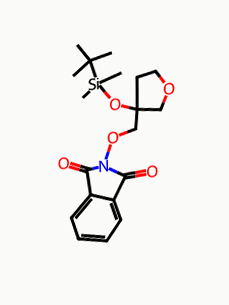 CC(C)(C)[Si](C)(C)OC1(CON2C(=O)c3ccccc3C2=O)CCOC1